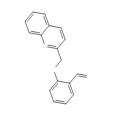 O=Cc1ccccc1OCc1ccc2ccccc2n1